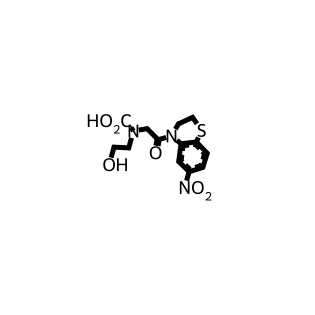 O=C(O)N(CCO)CC(=O)N1CCSc2ccc([N+](=O)[O-])cc21